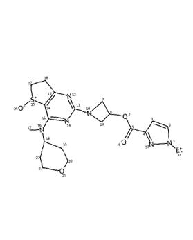 CCn1ccc(C(=O)OC2CN(c3nc4c(c(N(C)C5CCOCC5)n3)[S+]([O-])CC4)C2)n1